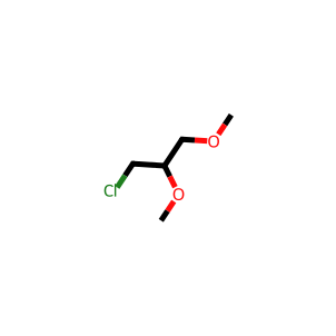 COCC(CCl)OC